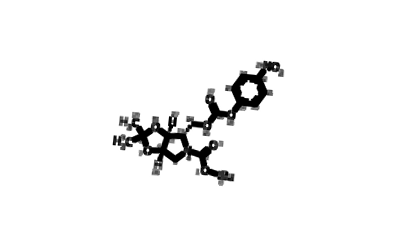 CC(C)(C)OC(=O)N1C[C@@H]2OC(C)(C)O[C@H]2[C@@H]1COC(=O)Oc1ccc([N+](=O)[O-])cc1